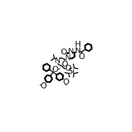 COc1ccc(C(OC[C@]2(CO[Si](C(C)C)(C(C)C)C(C)C)CN(C(C)C)C[C@H](n3ccc(NC(=O)c4ccccc4)nc3=O)O2)(c2ccccc2)c2ccc(OC)cc2)cc1